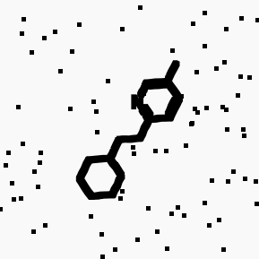 Cc1ccc(CCC2CCCCC2)nc1